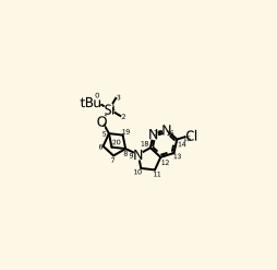 CC(C)(C)[Si](C)(C)OC12CCC(N3CCc4cc(Cl)nnc43)(C1)C2